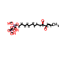 CC=CC(=O)C(=O)CCCCCCCCCOP(=O)(O)OP(=O)(O)O